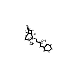 C[C@]12CC[C@@H](O)[C@H](CC[C@@H](O)CC3CCCCC3)[C@H]1CC2=O